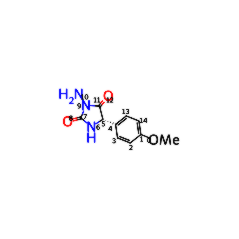 COc1ccc([C@@H]2NC(=O)N(N)C2=O)cc1